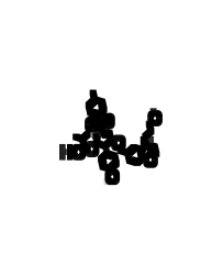 COCCCN1CCOc2ccc(CO[C@H]3CN(S(=O)(=O)c4ccc(C)cc4)[C@@H](CC(C)C(=O)O)C[C@@H]3c3ccc(OC)cc3)cc21